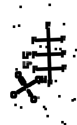 FC(F)(F)C(F)(F)C(F)(F)F.O=P([O-])([O-])O.[Li+].[Li+]